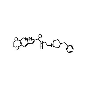 O=C(NCCN1CCC(Cc2ccccc2)CC1)c1cc2cc3c(cc2[nH]1)OCCO3